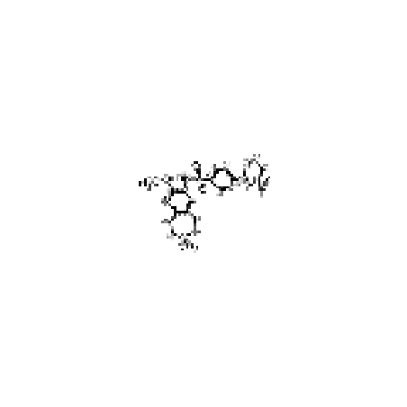 COc1nc2c(cc1NS(=O)(=O)c1ccc(C3CC(F)(F)CCO3)cc1)CCN(C)CC2